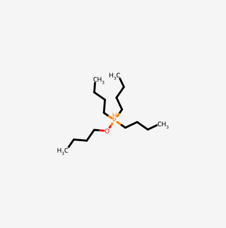 CCCCO[PH](CCCC)(CCCC)CCCC